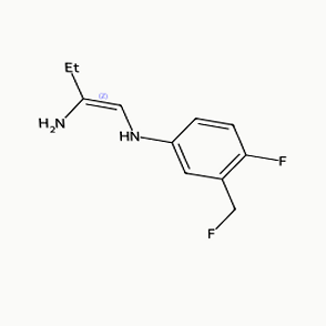 CC/C(N)=C/Nc1ccc(F)c(CF)c1